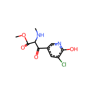 CNC(C(=O)OC)C(=O)c1cnc(O)c(Cl)c1